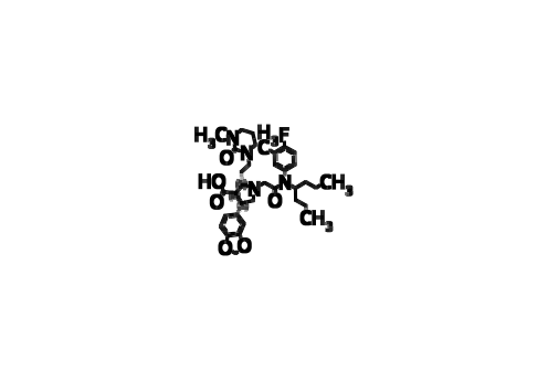 CCCC(CCC)N(C(=O)CN1C[C@H](c2ccc3c(c2)OCO3)[C@@H](C(=O)O)[C@@H]1CCN1CCCN(C)C1=O)c1ccc(F)c(C)c1